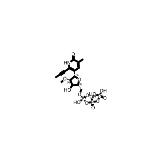 CC#Cc1[nH]c(=O)c(C)cc1[C@@H]1O[C@H](COP(=O)(O)OP(=O)(O)OP(=O)(O)O)C(O)[C@@H]1OC